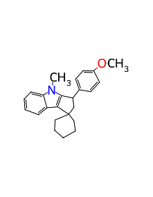 COc1ccc(C2CC3(CCCCC3)c3c2n(C)c2ccccc32)cc1